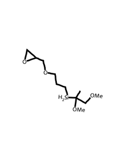 COCC(C)(OC)[SiH2]CCCOCC1CO1